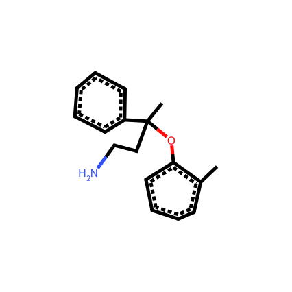 Cc1ccccc1OC(C)(CCN)c1ccccc1